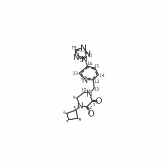 O=C1C(=O)N(C2CCC2)CCN1Cc1ccc(-n2ncnn2)cn1